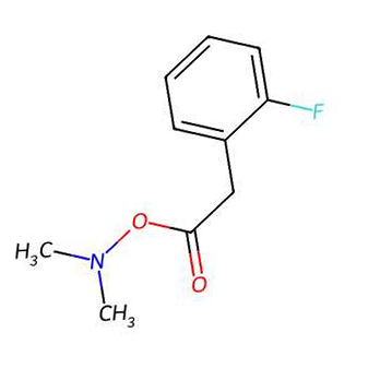 CN(C)OC(=O)Cc1ccccc1F